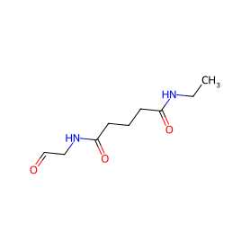 CCNC(=O)CCCC(=O)NCC=O